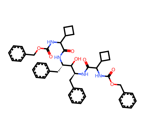 O=C(NC(C(=O)N[C@@H](Cc1ccccc1)C(O)[C@H](Cc1ccccc1)NC(=O)C(NC(=O)OCc1ccccc1)C1CCC1)C1CCC1)OCc1ccccc1